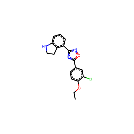 CCOc1ccc(-c2nc(-c3cccc4c3CCN4)no2)cc1Cl